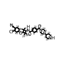 CC1(C)[C@H](NC(=O)c2ccc(C(=O)N3CCN(C4CCNCC4)CC3)cc2)C(C)(C)[C@H]1Oc1ccc(C#N)c(Cl)c1